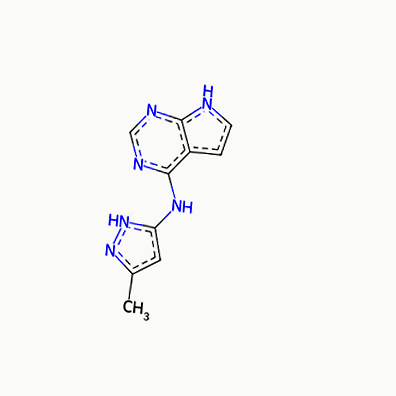 Cc1cc(Nc2ncnc3[nH]ccc23)[nH]n1